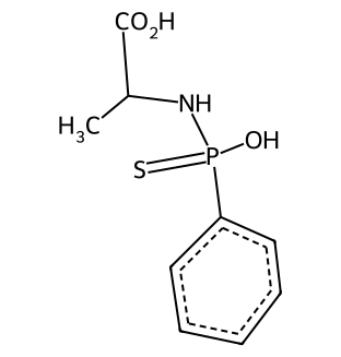 CC(NP(O)(=S)c1ccccc1)C(=O)O